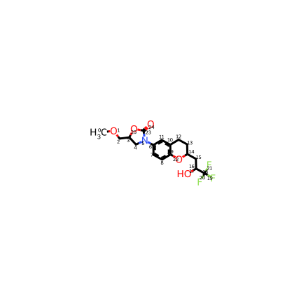 COCC1CN(c2ccc3c(c2)CCC(CC(O)C(F)(F)F)O3)C(=O)O1